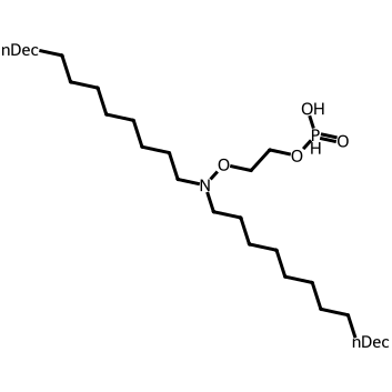 CCCCCCCCCCCCCCCCCCN(CCCCCCCCCCCCCCCCCC)OCCO[PH](=O)O